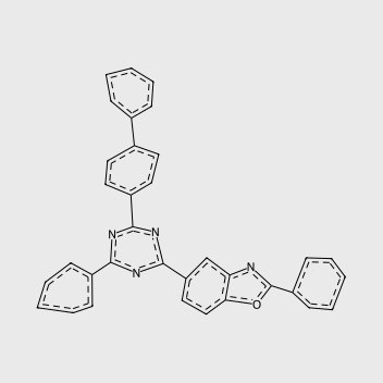 c1ccc(-c2ccc(-c3nc(-c4ccccc4)nc(-c4ccc5oc(-c6ccccc6)nc5c4)n3)cc2)cc1